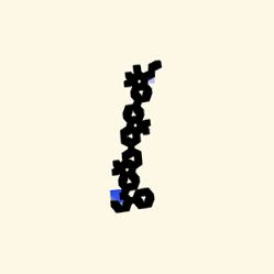 C=C/C=C1\C(=C)C(C)(C)c2cc(-c3ccc4c(c3)C(C)(C)c3cc(-c5ccc6c(c5)C(C)(C)c5cc(-c7ncccc7-c7ccccc7)ccc5-6)ccc3-4)ccc21